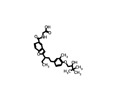 CCC(CCc1ccc(OCC(O)C(C)(C)C)c(C)c1)c1cc2cc(C(=O)NCC(=O)O)ccc2o1